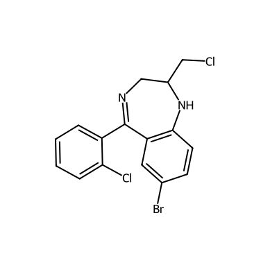 ClCC1CN=C(c2ccccc2Cl)c2cc(Br)ccc2N1